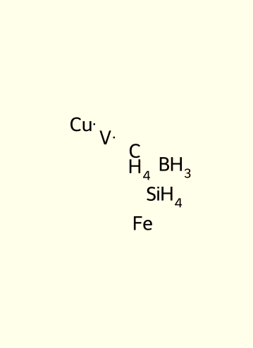 B.C.[Cu].[Fe].[SiH4].[V]